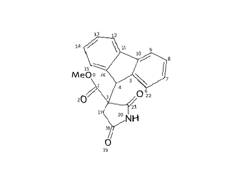 COC(=O)C1(C2c3ccccc3-c3ccccc32)CC(=O)NC1=O